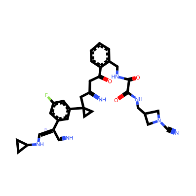 N#CN1CC(CNC(=O)C(=O)NCc2ccccc2C(=O)CC(=N)CC2(c3cc(F)cc(/C(C=N)=C/NC4CC4)c3)CC2)C1